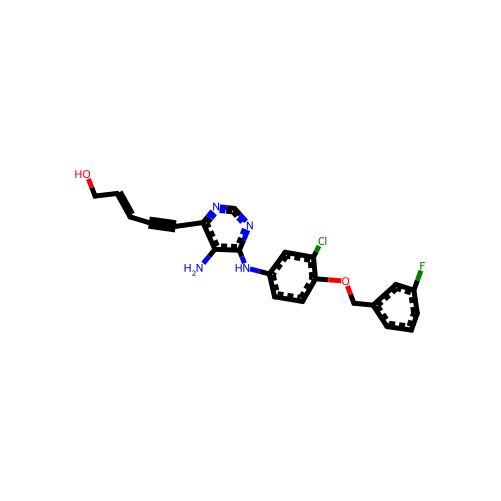 Nc1c(C#C/C=C/CO)ncnc1Nc1ccc(OCc2cccc(F)c2)c(Cl)c1